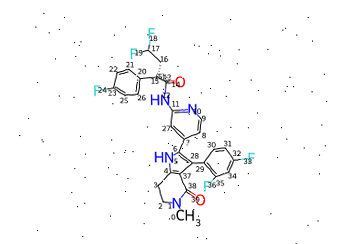 CN1CCc2[nH]c(-c3ccnc(NC(=O)[C@@H](CC(F)F)c4ccc(F)cc4)c3)c(-c3ccc(F)cc3F)c2C1=O